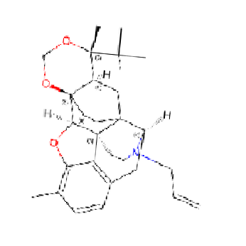 C=CCN1CC[C@]23c4c5ccc(C)c4O[C@H]2[C@@]24CCC3(C[C@@H]2[C@@](C)(C(C)(C)C)OCO4)[C@H]1C5